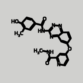 CNC(=O)c1cc(Oc2ccc3nnc(NC(=O)c4ccc(O)c(C)c4)nc3c2)ccn1